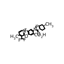 Cc1ccnc(Oc2cc(C(=O)O)c(N(C(=O)[C@H]3CC[C@H](C)CC3)C(C)C)cc2F)c1C(F)F